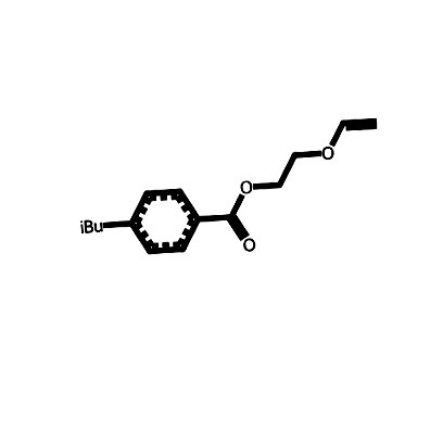 C=COCCOC(=O)c1ccc(C(C)CC)cc1